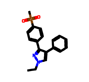 CCn1cc(-c2ccccc2)c(-c2ccc(S(C)(=O)=O)cc2)n1